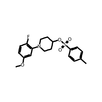 COc1ccc(F)c(N2CCC(OS(=O)(=O)c3ccc(C)cc3)CC2)c1